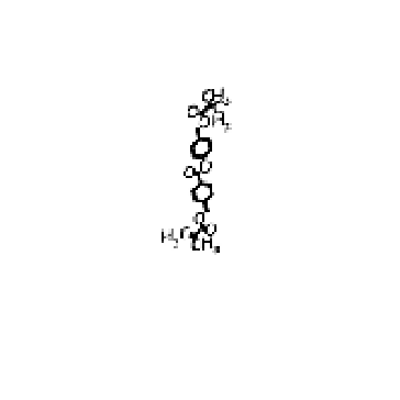 C=C(C)C(=O)OCC1CCC(OC(=O)C2CCC(COC(=O)C(=C)C)CC2)CC1